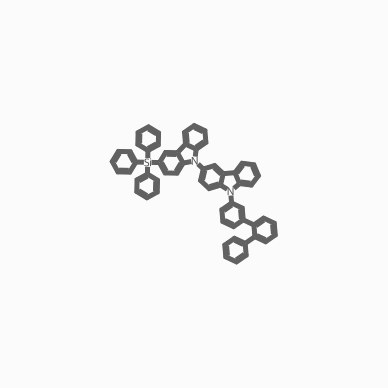 c1ccc(-c2ccccc2-c2cccc(-n3c4ccccc4c4cc(-n5c6ccccc6c6cc([Si](c7ccccc7)(c7ccccc7)c7ccccc7)ccc65)ccc43)c2)cc1